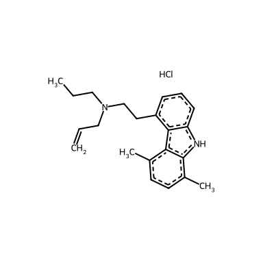 C=CCN(CCC)CCc1cccc2[nH]c3c(C)ccc(C)c3c12.Cl